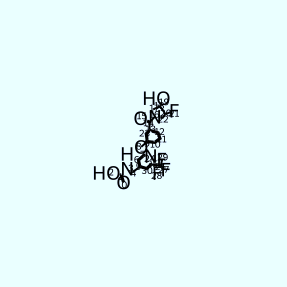 O=C(O)NCc1cc(Oc2cccc(C(=O)N3CC(O)C(F)C3)c2)nc(C(F)(F)F)c1